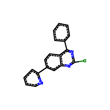 Clc1nc(-c2ccccc2)c2ccc(-c3ccccn3)cc2n1